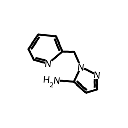 Nc1ccnn1Cc1ccccn1